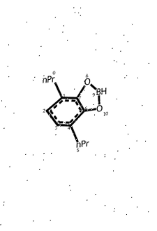 CCCc1ccc(CCC)c2c1OBO2